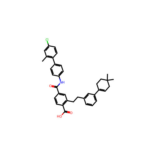 Cc1cc(Cl)ccc1-c1ccc(NC(=O)c2ccc(C(=O)O)c(CCc3cccc(C4=CCC(C)(C)CC4)c3)c2)cc1